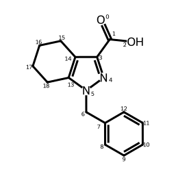 O=C(O)c1nn(Cc2ccccc2)c2c1CCCC2